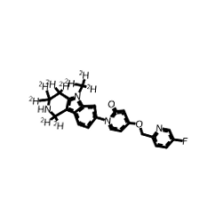 [2H]C1([2H])NC([2H])([2H])C([2H])([2H])c2c1c1ccc(-n3ccc(OCc4ccc(F)cn4)cc3=O)cc1n2C([2H])([2H])[2H]